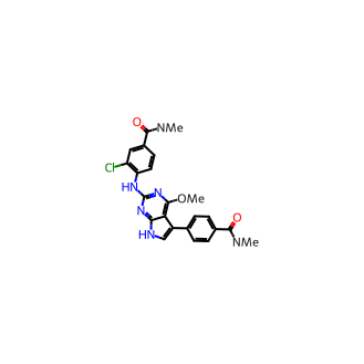 CNC(=O)c1ccc(-c2c[nH]c3nc(Nc4ccc(C(=O)NC)cc4Cl)nc(OC)c23)cc1